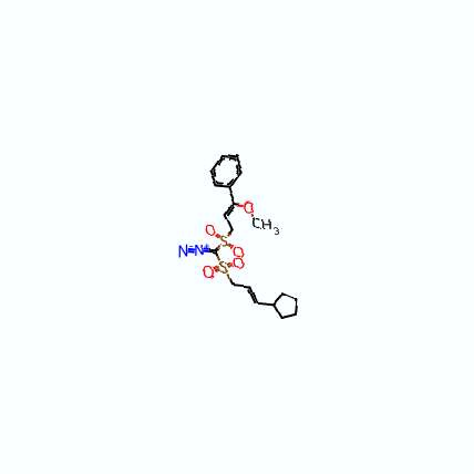 COC(=CCS(=O)(=O)C(=[N+]=[N-])S(=O)(=O)CC=CC1CCCC1)c1ccccc1